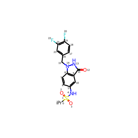 CC(C)S(=O)(=O)Nc1ccc2c(c1)c(=O)[nH]n2Cc1ccc(F)c(F)c1